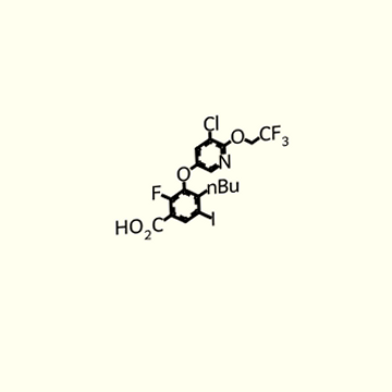 CCCCc1c(I)cc(C(=O)O)c(F)c1Oc1cnc(OCC(F)(F)F)c(Cl)c1